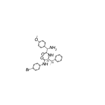 COc1ccc(C(N)C(=O)N[C@H](C(=O)Nc2ccc(Br)cc2)[C@@H](C)c2ccccc2)cc1